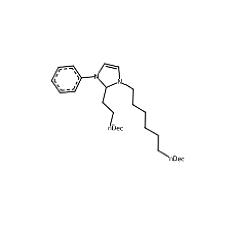 CCCCCCCCCCCCCCCCN1C=CN(c2ccccc2)C1CCCCCCCCCCCC